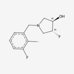 [CH2]c1c(F)cccc1CN1C[C@@H](O)[C@H](F)C1